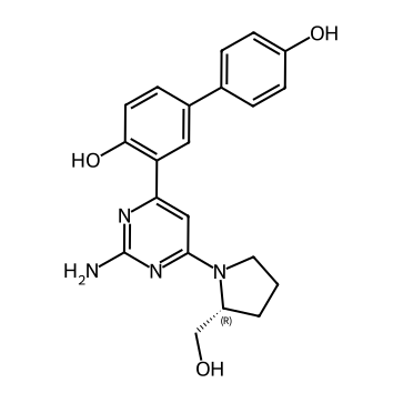 Nc1nc(-c2cc(-c3ccc(O)cc3)ccc2O)cc(N2CCC[C@@H]2CO)n1